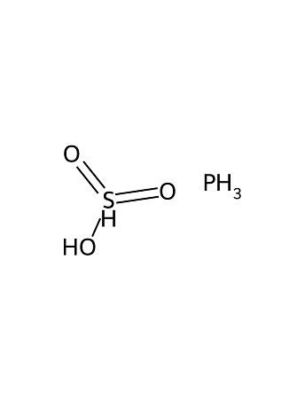 O=[SH](=O)O.P